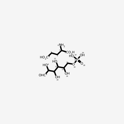 NC(CCC(=O)O)C(=O)O.O=CC(O)C(O)C(O)C(O)COP(=O)(O)O